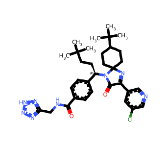 CC(C)(C)CC[C@H](c1ccc(C(=O)NCc2nn[nH]n2)cc1)N1C(=O)C(c2cncc(Cl)c2)=NC12CCC(C(C)(C)C)CC2